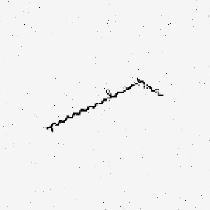 CCOCCOCC(C)OCCOCCCC(=O)OCCCCCCCCCCCCCCCC(C)C